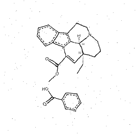 CC[C@@]12C=C(C(=O)OC)n3c4c(c5ccccc53)CCN(CCC1)[C@H]42.O=C(O)c1cccnc1